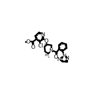 COC(=O)c1ccnc(O[C@@H]2CC[C@@H](C)N(C(=O)c3ccccc3-n3nccn3)C2)c1Cl